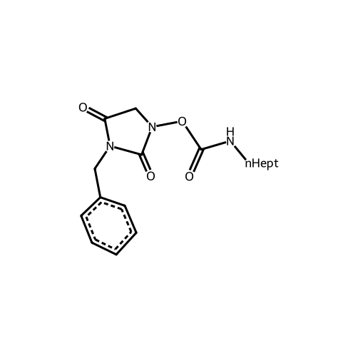 CCCCCCCNC(=O)ON1CC(=O)N(Cc2ccccc2)C1=O